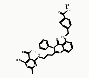 Cc1nc(N)c(C(N)=O)c(NCCCc2nc3cccc(NCc4ccc(C(=O)NO)cc4)c3c(=O)n2-c2ccccc2)n1